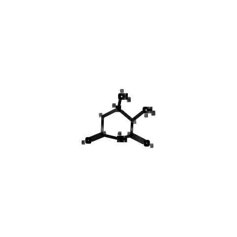 CC1C(=O)NC(=O)CN1C